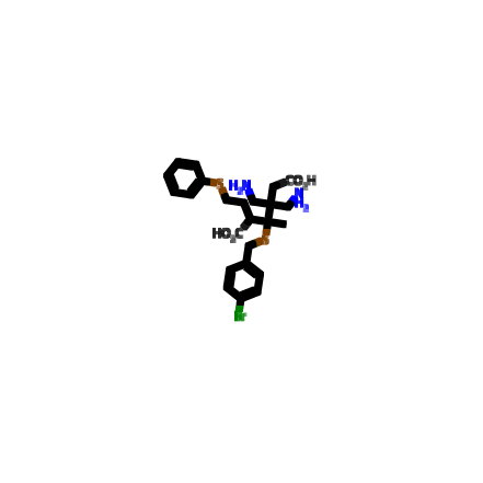 CC(SCc1ccc(Br)cc1)(C(CCSc1ccccc1)C(=O)O)C(CN)(CN)CC(=O)O